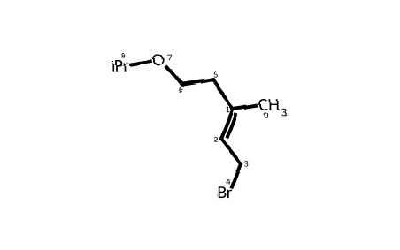 CC(=CCBr)CCOC(C)C